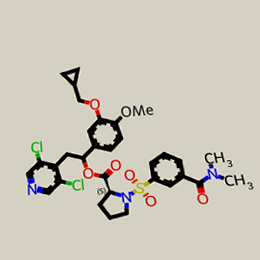 COc1ccc(C(Cc2c(Cl)cncc2Cl)OC(=O)[C@@H]2CCCN2S(=O)(=O)c2cccc(C(=O)N(C)C)c2)cc1OCC1CC1